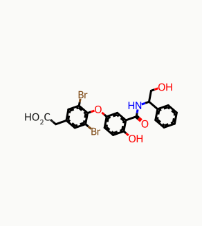 O=C(O)Cc1cc(Br)c(Oc2ccc(O)c(C(=O)NC(CO)c3ccccc3)c2)c(Br)c1